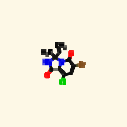 C=CC1(C)NC(=O)c2c(Cl)cc(Br)c(=O)n21